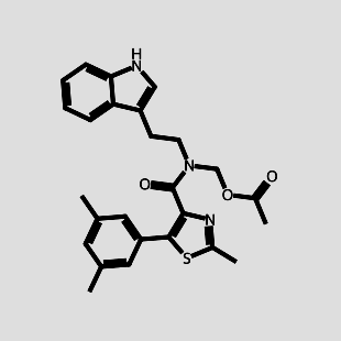 CC(=O)OCN(CCc1c[nH]c2ccccc12)C(=O)c1nc(C)sc1-c1cc(C)cc(C)c1